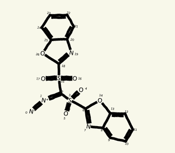 [N-]=[N+]=C(S(=O)(=O)c1nc2ccccc2o1)S(=O)(=O)c1nc2ccccc2o1